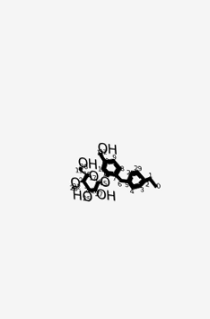 CCc1ccc(Cc2ccc(CO)cc2O[C@@H]2O[C@H](CO)[C@@H](OC)[C@H](O)[C@H]2O)cc1